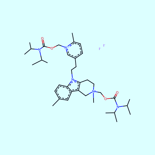 Cc1ccc2c(c1)c1c(n2CCc2ccc(C)[n+](COC(=O)N(C(C)C)C(C)C)c2)CC[N+](C)(COC(=O)N(C(C)C)C(C)C)C1.[I-].[I-]